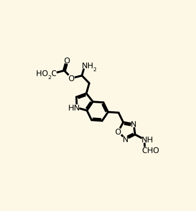 NC(Cc1c[nH]c2ccc(Cc3nc(NC=O)no3)cc12)OC(=O)C(=O)O